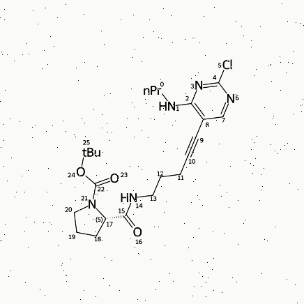 CCCNc1nc(Cl)ncc1C#CCCCNC(=O)[C@@H]1CCCN1C(=O)OC(C)(C)C